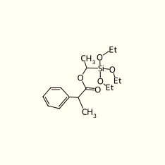 CCO[Si](OCC)(OCC)C(C)OC(=O)C(C)c1ccccc1